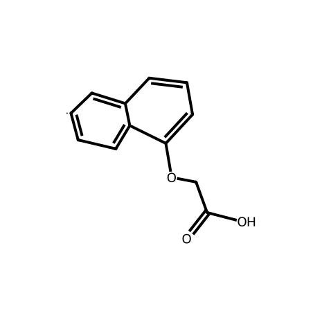 O=C(O)COc1cccc2c[c]ccc12